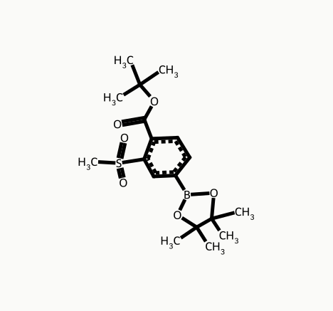 CC(C)(C)OC(=O)c1ccc(B2OC(C)(C)C(C)(C)O2)cc1S(C)(=O)=O